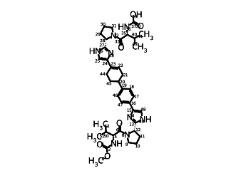 COC(=O)N[C@H](C(=O)N1CCC[C@H]1c1nc(-c2ccc(C3CC=C(c4c[nH]c([C@@H]5CCCN5C(=O)[C@@H](NC(=O)O)C(C)C)n4)CC3)cc2)c[nH]1)C(C)C